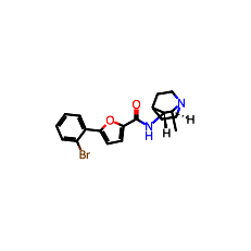 C[C@H]1[C@H](NC(=O)c2ccc(-c3ccccc3Br)o2)C2CCN1CC2